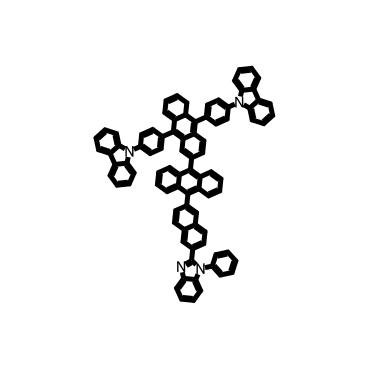 C1=CCC2C(=C1)C(c1ccc(-n3c4ccccc4c4ccccc43)cc1)=c1cc(-c3c4ccccc4c(-c4ccc5cc(-c6nc7ccccc7n6-c6ccccc6)ccc5c4)c4ccccc34)ccc1=C2c1ccc(-n2c3ccccc3c3ccccc32)cc1